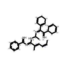 C\C=C/C=C(C)/C(=N/C(=N)c1ccccc1)NC(C)/N=C(\C(=N)C1C=CC=CC1)C1=CCCC=C1